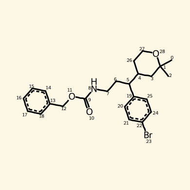 CC1(C)CC(C(CCNC(=O)OCc2ccccc2)c2ccc(Br)cc2)CCO1